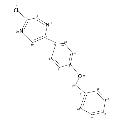 Clc1cnc(-c2ccc(OCc3ccccc3)cc2)cn1